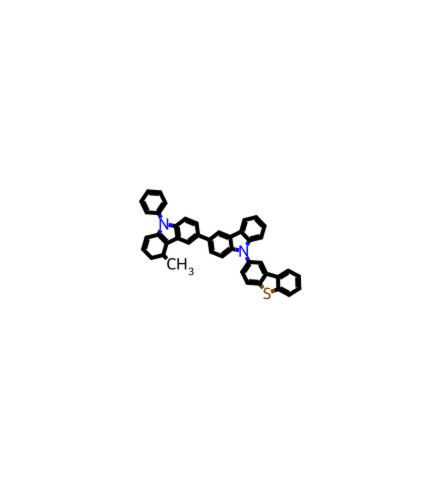 CC1CC=Cc2c1c1cc(-c3ccc4c(c3)c3ccccc3n4-c3ccc4sc5ccccc5c4c3)ccc1n2-c1ccccc1